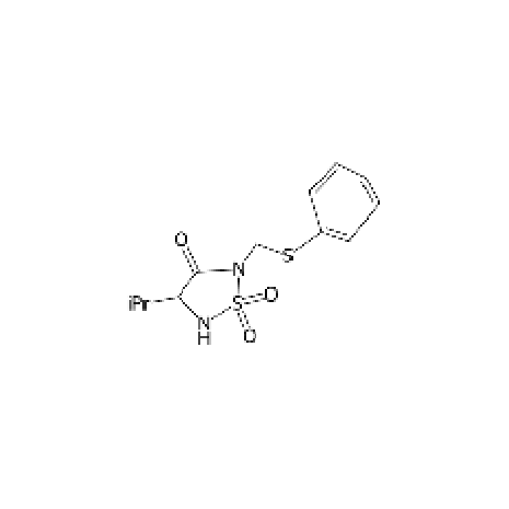 CC(C)C1NS(=O)(=O)N(CSc2ccccc2)C1=O